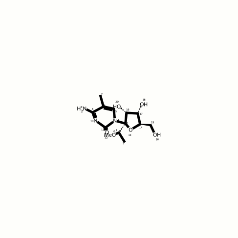 COC(C)[C@@]1(n2cc(C)c(N)nc2=O)O[C@H](CO)[C@@H](O)[C@H]1O